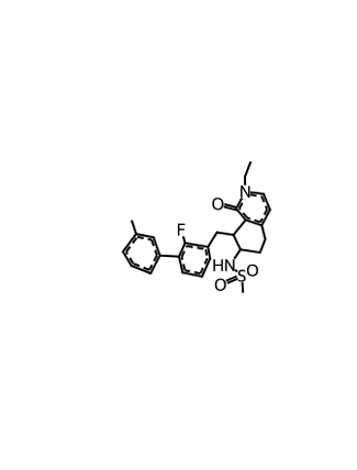 CCn1ccc2c(c1=O)C(Cc1cccc(-c3cccc(C)c3)c1F)C(NS(C)(=O)=O)CC2